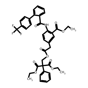 CCOC(=O)c1cc(CC(=O)OCC(C(=O)OCC)(C(=O)OCC)c2ccccc2)ccc1NC(=O)c1ccccc1-c1ccc(C(F)(F)F)cc1